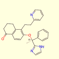 C[C@](Oc1ccc2c(c1CCc1ccccn1)CCCC2=O)(c1ccccc1)c1ncc[nH]1